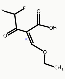 CCO/C=C(\C(=O)O)C(=O)C(F)F